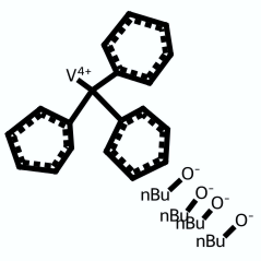 CCCC[O-].CCCC[O-].CCCC[O-].CCCC[O-].[V+4][C](c1ccccc1)(c1ccccc1)c1ccccc1